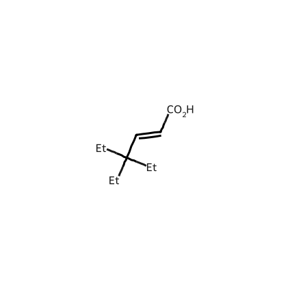 CCC(/C=C/C(=O)O)(CC)CC